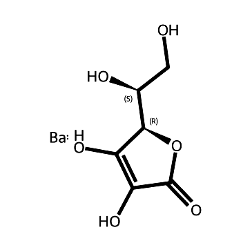 O=C1O[C@H]([C@@H](O)CO)C(O)=C1O.[Ba]